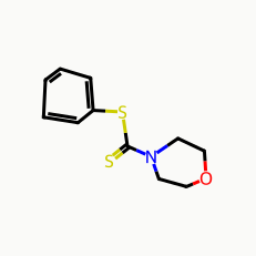 S=C(Sc1ccccc1)N1CCOCC1